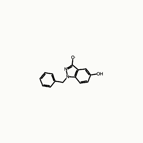 [O]c1nn(Cc2ccccc2)c2ccc(O)cc12